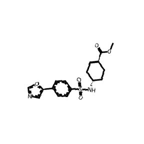 COC(=O)[C@H]1CC[C@H](NS(=O)(=O)c2ccc(-c3cnco3)cc2)CC1